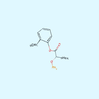 CCCCCCCCCCc1ccccc1OC(=O)C(CCCCCC)OP